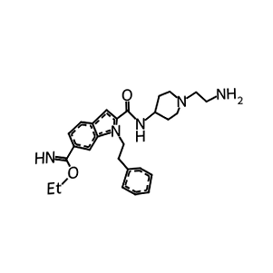 CCOC(=N)c1ccc2cc(C(=O)NC3CCN(CCN)CC3)n(CCc3ccccc3)c2c1